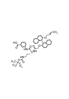 C/C=C/COc1ccc2ccccc2c1-c1c(OCC(=O)N[C@H](CCCNC(=O)OC(C)(C)C)C(=O)Nc2cccc(C(=O)O)c2)ccc2ccccc12